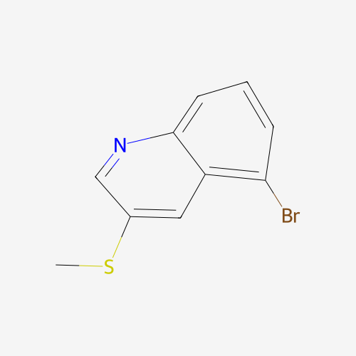 CSc1cnc2cccc(Br)c2c1